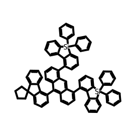 c1ccc([Si]2(c3ccccc3)c3ccccc3-c3c(-c4cccc5c(-c6cccc7c6-c6ccccc6C76CCCC6)c6cccc(-c7cccc8c7-c7ccccc7[Si]8(c7ccccc7)c7ccccc7)c6cc45)cccc32)cc1